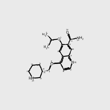 CC(C)Oc1cc2c(OC[C@H]3CCCNC3)ccnc2cc1C(N)=O